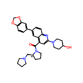 O=C(c1cc(N2CCC(O)CC2)nc2ccc(-c3ccc4c(c3)OCO4)cc12)N1CCC[C@H]1CN1CCCC1